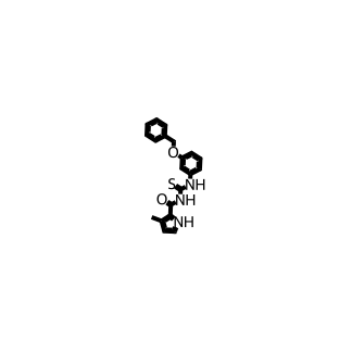 Cc1cc[nH]c1C(=O)NC(=S)Nc1cccc(OCc2ccccc2)c1